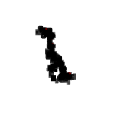 CC1(C)CCC(CN2CCN(c3ccc(C(=O)NS(=O)(=O)c4ccc(NCC5CCN(CCSc6cccc7c6CN(C6CCC(=O)NC6=O)C7=O)CC5)c([N+](=O)[O-])c4)c(Oc4cnc5[nH]ccc5c4)c3)CC2)=C(c2ccc(Cl)cc2)C1